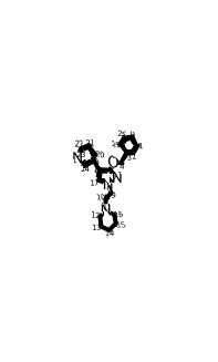 c1ccc(COc2nn(CCN3CCCCC3)cc2-c2cccnc2)cc1